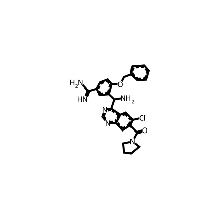 N=C(N)c1ccc(OCc2ccccc2)c(C(N)c2ncnc3cc(C(=O)N4CCCC4)c(Cl)cc23)c1